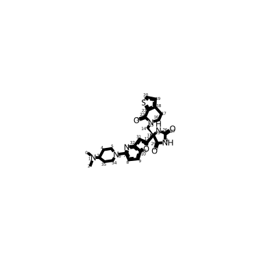 CN(C)C1CCN(c2ccc3oc([C@]4(CN5CCc6ccsc6C5=O)NC(=O)NC4=O)cc3n2)CC1